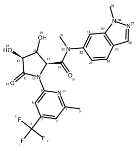 Cc1cc(C(F)(F)F)cc(N2C(=O)[C@@H](O)C(O)[C@H]2C(=O)N(C)c2ccc3cnn(C)c3c2)n1